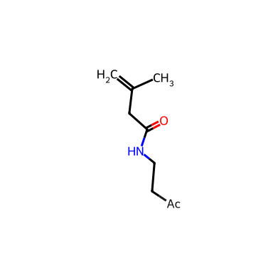 C=C(C)CC(=O)NCCC(C)=O